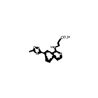 Cc1nc(-c2ccc3ccnc(NCCC(=O)O)c3c2)no1